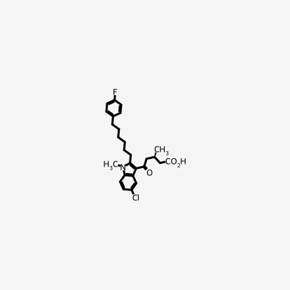 C[C@@H](CC(=O)O)CC(=O)c1c(CCCCCCc2ccc(F)cc2)n(C)c2ccc(Cl)cc12